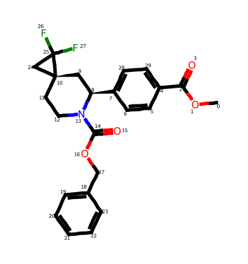 COC(=O)c1ccc([C@@H]2C[C@@]3(CCN2C(=O)OCc2ccccc2)CC3(F)F)cc1